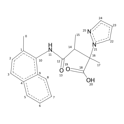 Cc1ccc2ccccc2c1NC(=O)C(C)C(C)(C(=O)O)n1cccn1